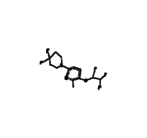 Cc1nc(N2CCC(F)(F)CC2)ccc1OC(F)C(F)F